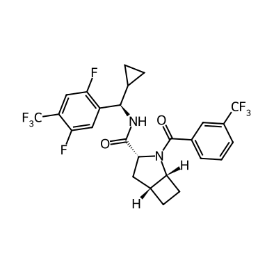 O=C(N[C@@H](c1cc(F)c(C(F)(F)F)cc1F)C1CC1)[C@H]1C[C@H]2CC[C@H]2N1C(=O)c1cccc(C(F)(F)F)c1